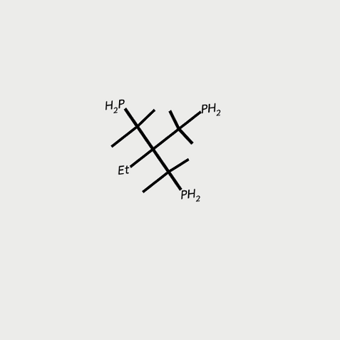 CCC(C(C)(C)P)(C(C)(C)P)C(C)(C)P